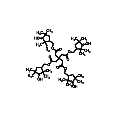 CC1(C)CC(COC(=O)CC(CC(=O)OCC2CC(C)(C)N(O)C2(C)C)(CC(=O)OCC2CC(C)(C)N(O)C2(C)C)CC(=O)OCC2CC(C)(C)N(O)C2(C)C)C(C)(C)N1O